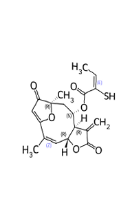 C=C1C(=O)O[C@@H]2/C=C(/C)C3=CC(=O)[C@@](C)(C[C@H](OC(=O)/C(S)=C\C)[C@@H]12)O3